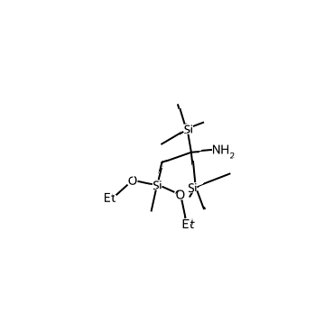 CCO[Si](C)(CC(N)([Si](C)(C)C)[Si](C)(C)C)OCC